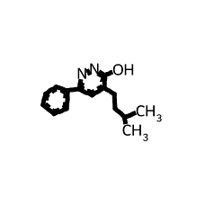 CC(C)CCc1cc(-c2ccccc2)nnc1O